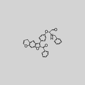 O=CC(NCc1ccccc1)Oc1ccc(-c2c(C(=O)c3ccccc3)oc3cc4c(cc23)CC=CO4)cc1